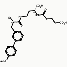 CC[C@H](Cc1cccc(-c2ccc(NC(C)=O)cc2)c1)C(=O)NCC[C@@H](NC(=O)CCCC(=O)O)C(=O)O